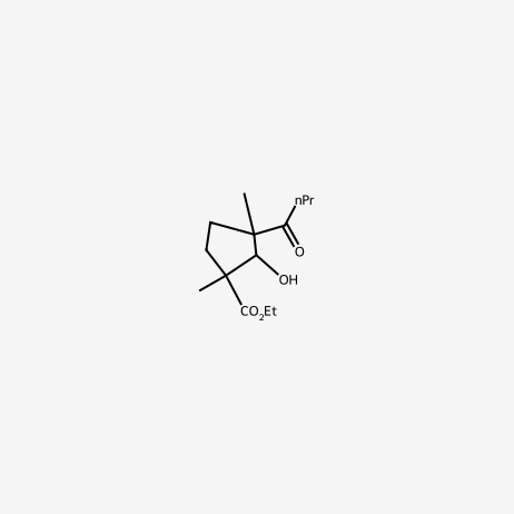 CCCC(=O)C1(C)CCC(C)(C(=O)OCC)C1O